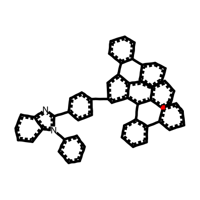 c1ccc(-c2ccccc2-c2cc(-c3ccc(-c4nc5ccccc5n4-c4ccccc4)cc3)cc3c(-c4ccccc4-c4ccccc4)c4ccccc4cc23)cc1